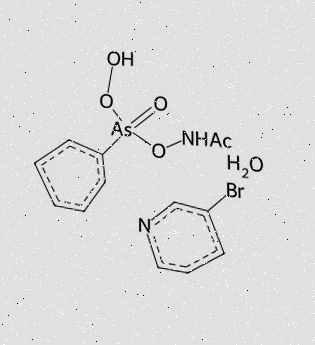 Brc1cccnc1.CC(=O)NO[As](=O)(OO)c1ccccc1.O